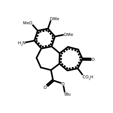 COc1c(N)c2c(c(OC)c1OC)-c1ccc(=O)c(C(=O)O)cc1C(C(=O)OC(C)(C)C)CC2